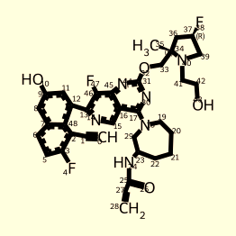 C#Cc1c(F)ccc2cc(O)cc(-c3ncc4c(N5CCCCC(NC(=O)C=C)C5)nc(OC[C@]5(C)C[C@@H](F)CN5CCO)nc4c3F)c12